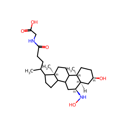 CC(CCC(=O)NCC(=O)O)C1CCC2C3C[C@H](NO)[C@@H]4C[C@H](O)CC[C@]4(C)C3CC[C@]12C